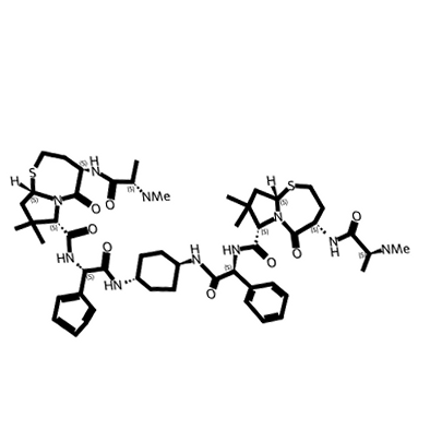 CN[C@@H](C)C(=O)N[C@H]1CCS[C@H]2CC(C)(C)[C@@H](C(=O)N[C@H](C(=O)N[C@H]3CC[C@H](NC(=O)[C@@H](NC(=O)[C@H]4N5C(=O)[C@@H](NC(=O)[C@H](C)NC)CCS[C@H]5CC4(C)C)c4ccccc4)CC3)c3ccccc3)N2C1=O